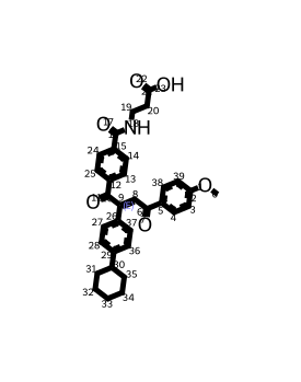 COc1ccc(C(=O)/C=C(/C(=O)c2ccc(C(=O)NCCC(=O)O)cc2)c2ccc(C3CCCCC3)cc2)cc1